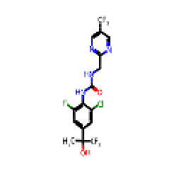 CC(O)(c1cc(F)c(NC(=O)NCc2ncc(C(F)(F)F)cn2)c(Cl)c1)C(F)(F)F